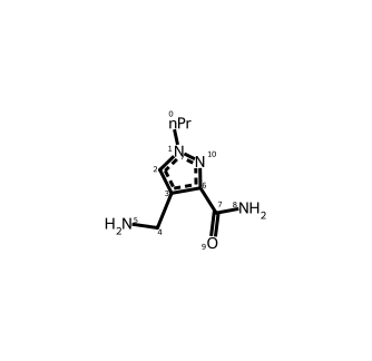 CCCn1cc(CN)c(C(N)=O)n1